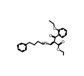 CCOC(=O)/C(=C/NCCCCc1ccccc1)C(=O)c1ccccc1OCC